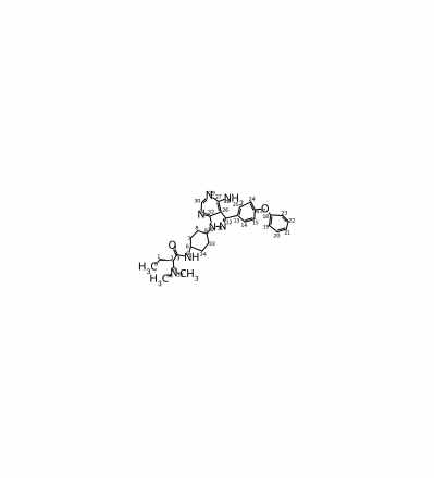 CC[C@@H](C(=O)NC1CCC(n2nc(-c3ccc(Oc4ccccc4)cc3)c3c(N)ncnc32)CC1)N(C)C